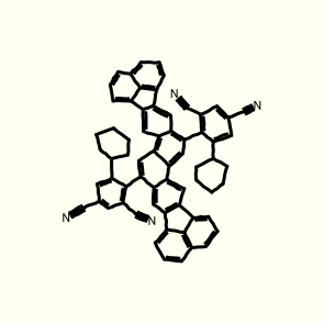 N#Cc1cc(C#N)c(-c2cc3c4cc5c(cc4c(-c4c(C#N)cc(C#N)cc4C4CCCCC4)cc3c3cc4c(cc23)-c2cccc3cccc-4c23)-c2cccc3cccc-5c23)c(C2CCCCC2)c1